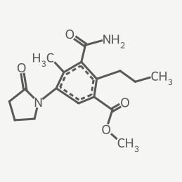 CCCc1c(C(=O)OC)cc(N2CCCC2=O)c(C)c1C(N)=O